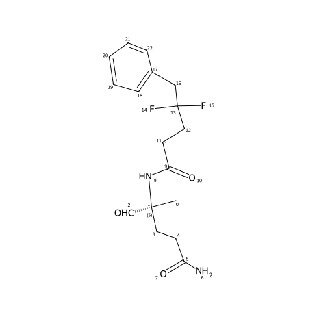 C[C@@](C=O)(CCC(N)=O)NC(=O)[CH]CC(F)(F)Cc1ccccc1